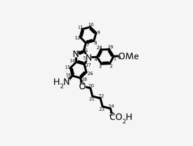 COc1ccc(-n2c(-c3ccccc3)nc3cc(N)c(OCCCCCC(=O)O)cc32)cc1